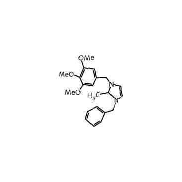 COc1cc(CN2C=CN(Cc3ccccc3)C2C)cc(OC)c1OC